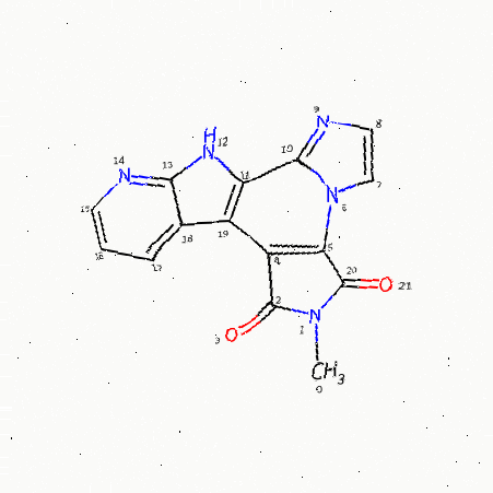 CN1C(=O)c2c(n3ccnc3c3[nH]c4ncccc4c23)C1=O